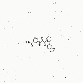 C[C@@H]1CC[C@@H](c2ccc3c(c2)OCC3)N(C(=O)C(=O)Nc2cncc(C(N)=O)c2)C1